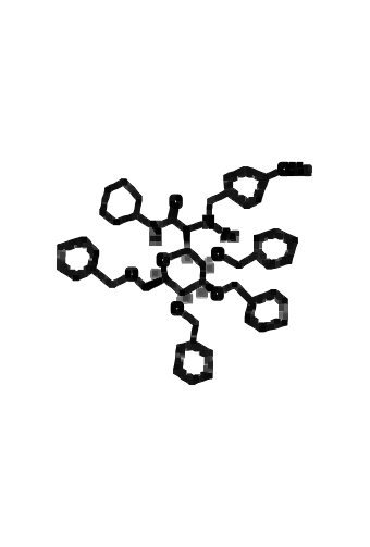 COc1ccc(CN(C(C)=O)C(C(=O)NC2CCCCC2)[C@@H]2O[C@H](COCc3ccccc3)[C@@H](OCc3ccccc3)[C@H](OCc3ccccc3)[C@H]2OCc2ccccc2)cc1